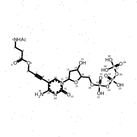 CC(=O)NCCC(=O)OCC#Cc1cn(C2CC(O)C(COP(=O)(O)OP(=O)(O)OP(=O)(O)O)O2)c(=O)nc1N